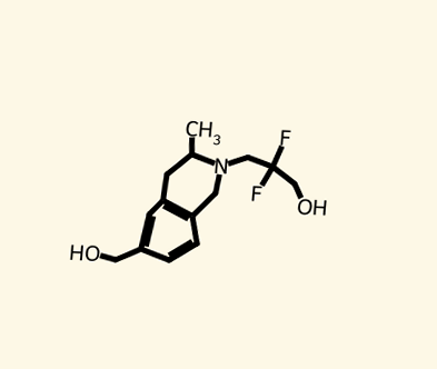 CC1Cc2cc(CO)ccc2CN1CC(F)(F)CO